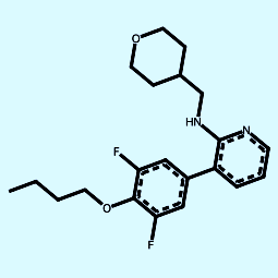 CCCCOc1c(F)cc(-c2cccnc2NCC2CCOCC2)cc1F